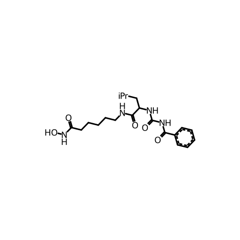 CC(C)CC(NC(=O)NC(=O)c1ccccc1)C(=O)NCCCCCC(=O)NO